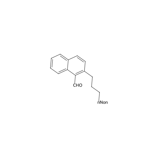 CCCCCCCCCCCCc1ccc2ccccc2c1C=O